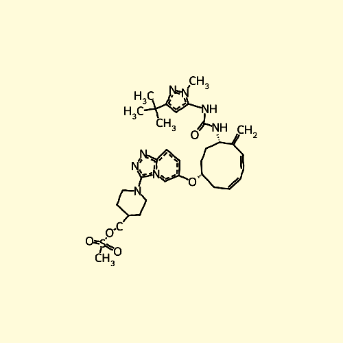 C=C1/C=C\C=C/C[C@H](Oc2ccc3nnc(N4CCC(COS(C)(=O)=O)CC4)n3c2)CC[C@@H]1NC(=O)Nc1cc(C(C)(C)C)nn1C